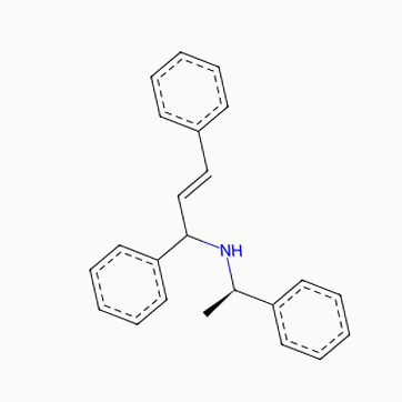 C[C@@H](NC(/C=C/c1ccccc1)c1ccccc1)c1ccccc1